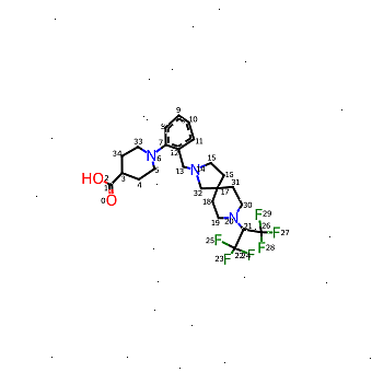 O=C(O)C1CCN(c2ccccc2CN2CCC3(CCN(C(C(F)(F)F)C(F)(F)F)CC3)C2)CC1